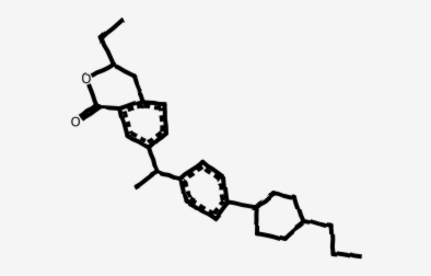 CCCC1CCC(c2ccc(C(C)c3ccc4c(c3)C(=O)OC(CC)C4)cc2)CC1